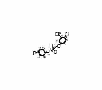 O=C(COc1ccc(Cl)c(Cl)c1)NCc1ccc(F)cc1